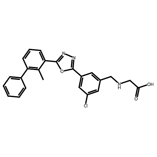 Cc1c(-c2ccccc2)cccc1-c1nnc(-c2cc(Cl)cc(CNCC(=O)O)c2)o1